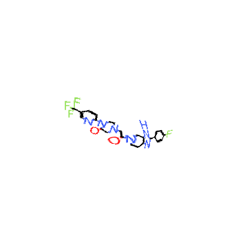 O=C(CN1CCN(c2ccc(C(F)(F)F)cn2)C(=O)C1)N1CCc2nc(-c3ccc(F)cc3)[nH]c2C1